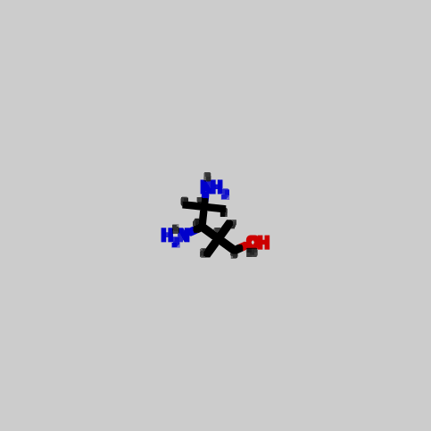 CC(C)(N)C(N)C(C)(C)CO